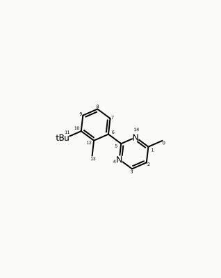 Cc1ccnc(-c2cccc(C(C)(C)C)c2C)n1